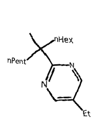 CCCCCCC(C)(CCCCC)c1ncc(CC)cn1